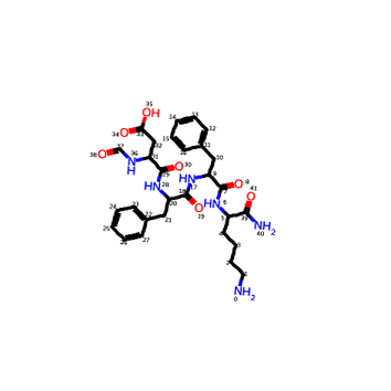 NCCCCC(NC(=O)C(Cc1ccccc1)NC(=O)C(Cc1ccccc1)NC(=O)C(CC(=O)O)NC=O)C(N)=O